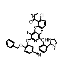 CN(C)C(=O)c1c(Cl)cccc1Sc1c(F)c(Oc2cc(C#N)ccc2OCc2ccccc2)nc(Oc2ccccc2C2NCCN2C)c1F